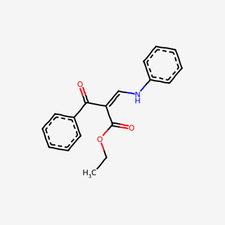 CCOC(=O)C(=CNc1ccccc1)C(=O)c1ccccc1